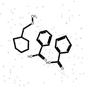 COCC1CCCCC1.O=C(O)c1ccccc1.O=C(O)c1ccccc1